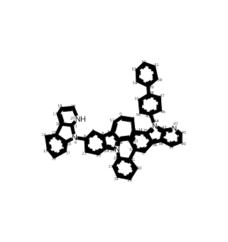 C1=CCC=c2c(c3cc(N4c5ccccc5C5=CC=CNC54)ccc3n2-c2ccccc2-c2ccc3c(c2)c2cccnc2n3-c2ccc(-c3ccccc3)cc2)=C1